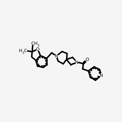 CC1(C)Cc2cccc(CN3CCC4(CC3)CN(C(=O)Cc3ccncc3)C4)c2O1